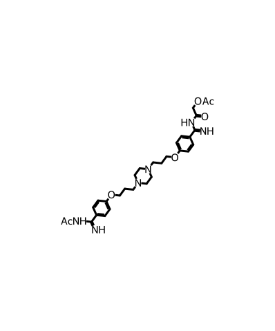 CC(=O)NC(=N)c1ccc(OCCCN2CCN(CCCOc3ccc(C(=N)NC(=O)COC(C)=O)cc3)CC2)cc1